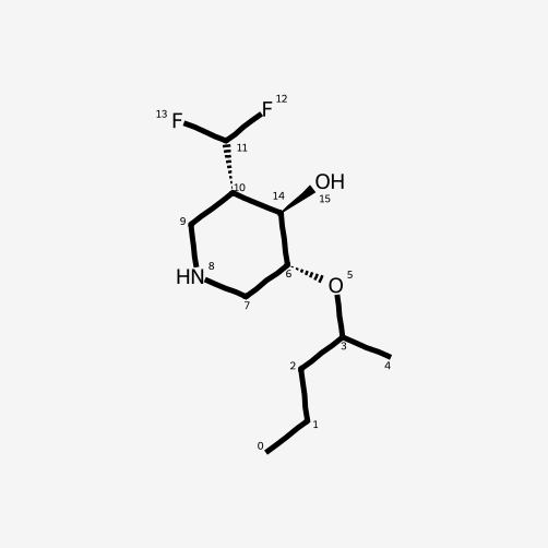 CCCC(C)O[C@@H]1CNC[C@H](C(F)F)[C@H]1O